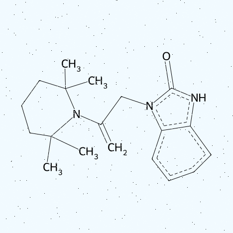 C=C(Cn1c(=O)[nH]c2ccccc21)N1C(C)(C)CCCC1(C)C